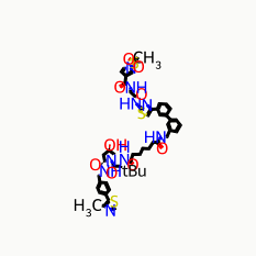 Cc1ncsc1-c1ccc(CNC(=O)[C@@H]2C[C@@H](O)CN2C(=O)[C@@H](NC(=O)CCCCCC(=O)NCc2cccc(-c3cccc(-c4csc(NC(=O)CNC(=O)c5ccn(S(C)(=O)=O)c5)n4)c3)c2)C(C)(C)C)cc1